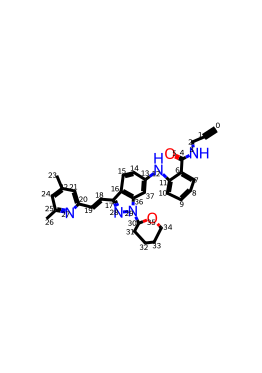 C#CCNC(=O)c1ccccc1Nc1ccc2c(C=Cc3cc(C)cc(C)n3)nn(C3CCCCO3)c2c1